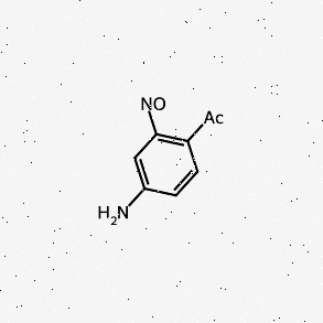 CC(=O)c1ccc(N)cc1N=O